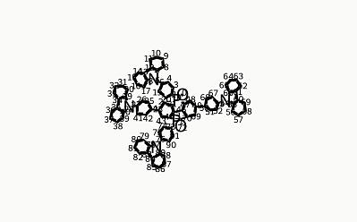 O=P1(c2ccc(-n3c4ccccc4c4ccccc43)cc2)c2cc(-c3ccc(-n4c5ccccc5c5ccccc54)cc3)cc3c2-c2c1cc(-c1ccc(-n4c5ccccc5c5ccccc54)cc1)cc2P3(=O)c1ccc(-n2c3ccccc3c3ccccc32)cc1